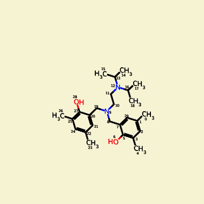 Cc1cc(C)c(O)c(CN(CCN(C(C)C)C(C)C)Cc2cc(C)cc(C)c2O)c1